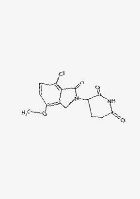 COc1ccc(Cl)c2c1CN(C1CCC(=O)NC1=O)C2=O